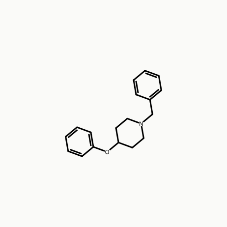 c1ccc(CN2CCC(Oc3ccccc3)CC2)cc1